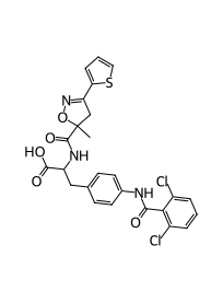 CC1(C(=O)NC(Cc2ccc(NC(=O)c3c(Cl)cccc3Cl)cc2)C(=O)O)CC(c2cccs2)=NO1